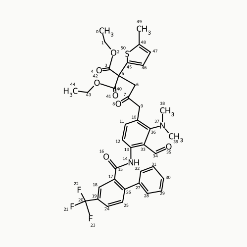 CCOC(=O)C(CC(=O)Cc1ccc(NC(=O)c2cc(C(F)(F)F)ccc2-c2ccccc2)c(C=O)c1N(C)C)(C(=O)OCC)c1ccc(C)s1